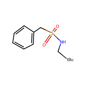 CC(C)(C)CNS(=O)(=O)Cc1ccccc1